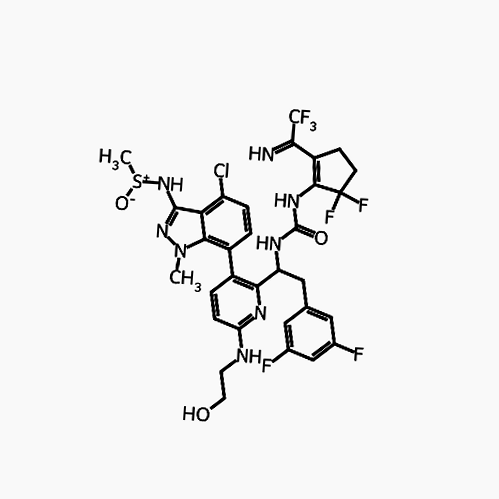 Cn1nc(N[S+](C)[O-])c2c(Cl)ccc(-c3ccc(NCCO)nc3C(Cc3cc(F)cc(F)c3)NC(=O)NC3=C(C(=N)C(F)(F)F)CCC3(F)F)c21